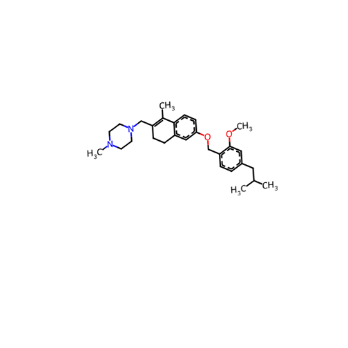 COc1cc(CC(C)C)ccc1COc1ccc2c(c1)CCC(CN1CCN(C)CC1)=C2C